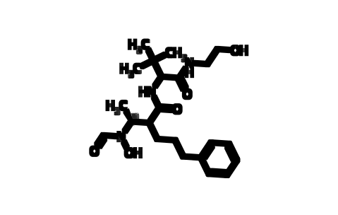 C[C@@H](C(CCCc1ccccc1)C(=O)NC(C(=O)NCCO)C(C)(C)C)N(O)C=O